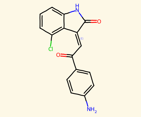 Nc1ccc(C(=O)/C=C2/C(=O)Nc3cccc(Cl)c32)cc1